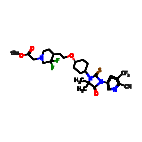 CC(C)(C)OC(=O)CN1CCC(CCO[C@H]2CC[C@H](N3C(=S)N(c4cnc(C#N)c(C(F)(F)F)c4)C(=O)C3(C)C)CC2)C(F)(F)C1